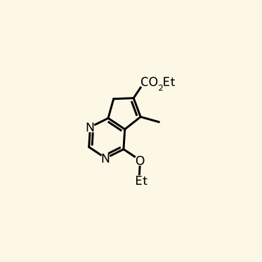 CCOC(=O)C1=C(C)c2c(ncnc2OCC)C1